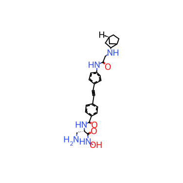 NC[C@H](NC(=O)c1ccc(C#Cc2ccc(NC(=O)CNC3C[C@@H]4CCC3C4)cc2)cc1)C(=O)NO